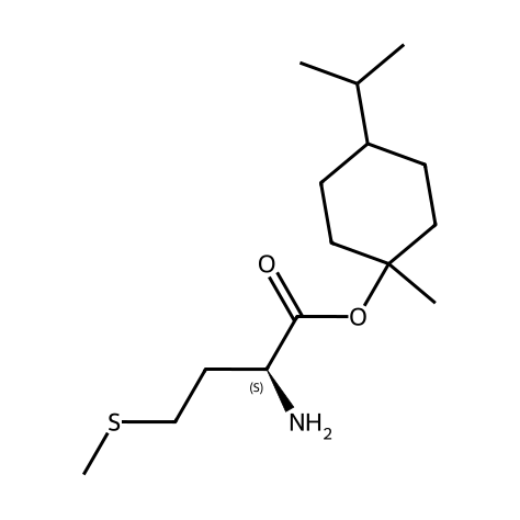 CSCC[C@H](N)C(=O)OC1(C)CCC(C(C)C)CC1